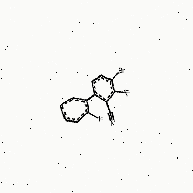 N#Cc1c(-c2ccccc2F)ccc(Br)c1F